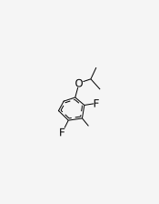 Cc1c(F)ccc(OC(C)C)c1F